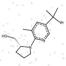 Cc1cc(C(C)(C)C(C)C)cnc1N1CCC[C@@H]1CO